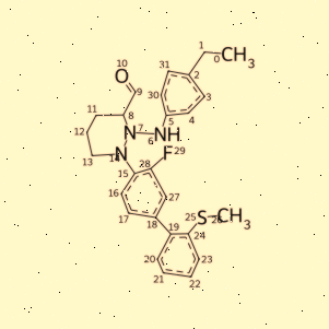 CCc1ccc(NN2C(C=O)CCCN2c2ccc(-c3ccccc3SC)cc2F)cc1